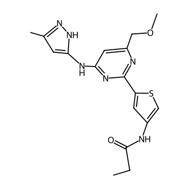 CCC(=O)Nc1csc(-c2nc(COC)cc(Nc3cc(C)n[nH]3)n2)c1